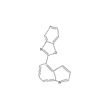 c1ccc2oc(-c3cccc4ncccc34)nc2c1